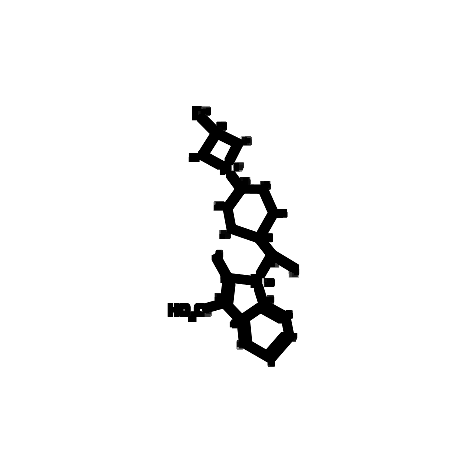 Cc1c(C(=O)O)c2ccccc2n1C(C)C1CCC(N2CC(F)C2)CC1